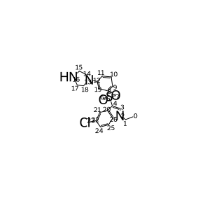 CCn1cc(S(=O)(=O)c2cccc(N3CCNCC3)c2)c2cc(Cl)ccc21